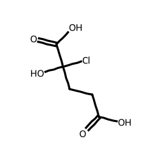 O=C(O)CCC(O)(Cl)C(=O)O